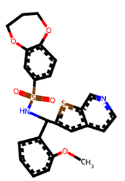 COc1ccccc1C(NS(=O)(=O)c1ccc2c(c1)OCCCO2)c1cc2ccncc2s1